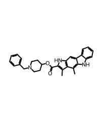 Cc1c(C(=O)OC2CCN(Cc3ccccc3)CC2)[nH]c2cc3c([nH]c4ccccc43)c(C)c12